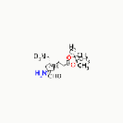 CC1(C)OB(CC[C@H]2C[C@](N)(C=O)C[C@@H]2C[N+](=O)[O-])OC1(C)C